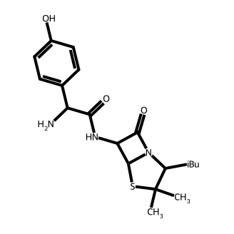 CCC(C)C1N2C(=O)C(NC(=O)C(N)c3ccc(O)cc3)C2SC1(C)C